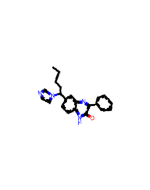 CCCCC(c1ccc2[nH]c(=O)c(-c3ccccc3)nc2c1)n1ccnc1